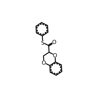 O=C(Sc1ccccc1)C1COc2ccccc2O1